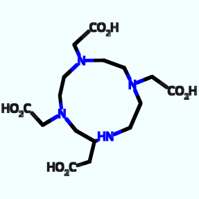 O=C(O)CC1CN(CC(=O)O)CCN(CC(=O)O)CCN(CC(=O)O)CCN1